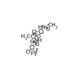 C=CC(=O)Nc1ccc(Oc2ncc(C)cc2NS(=O)(=O)c2ccc(Cl)c(C(F)(F)F)c2)c(Cl)c1